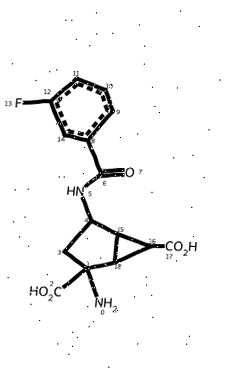 NC1(C(=O)O)CC(NC(=O)c2cccc(F)c2)C2C(C(=O)O)C21